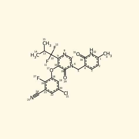 Cc1ccc(Cn2cnc(C(F)(F)C(C)C)c(Oc3cc(Cl)cc(C#N)c3F)c2=O)c(=O)[nH]1